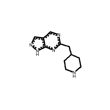 c1n[nH]c2nc(CC3CCNCC3)ncc12